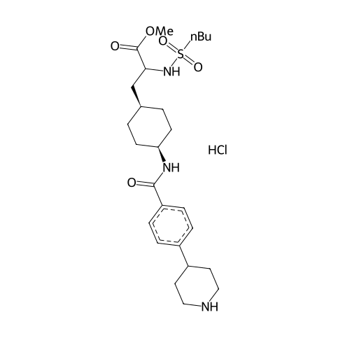 CCCCS(=O)(=O)NC(C[C@H]1CC[C@@H](NC(=O)c2ccc(C3CCNCC3)cc2)CC1)C(=O)OC.Cl